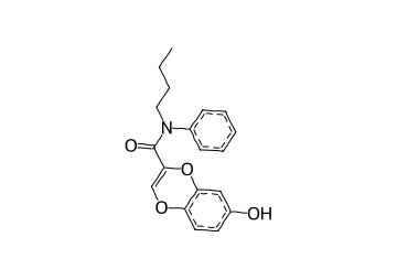 CCCCN(C(=O)C1=COc2ccc(O)cc2O1)c1ccccc1